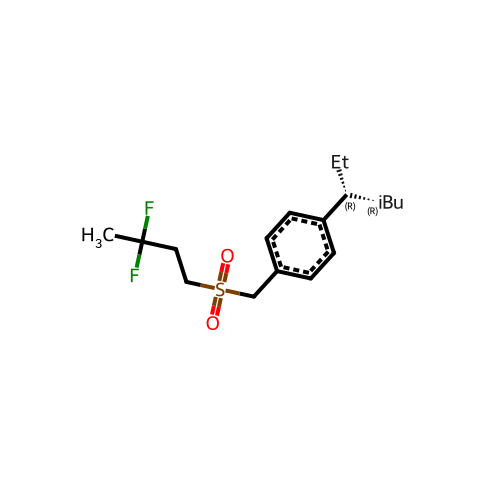 CC[C@@H](C)[C@@H](CC)c1ccc(CS(=O)(=O)CCC(C)(F)F)cc1